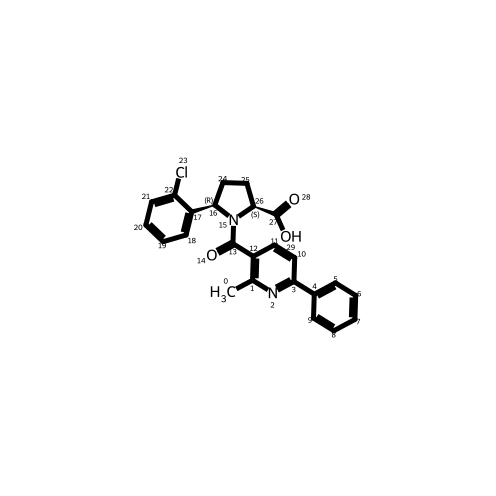 Cc1nc(-c2ccccc2)ccc1C(=O)N1[C@@H](c2ccccc2Cl)CC[C@H]1C(=O)O